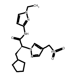 CCn1ccc(NC(=O)[C@H](CC2CCCC2)n2cc(C[SH](=O)=O)cn2)n1